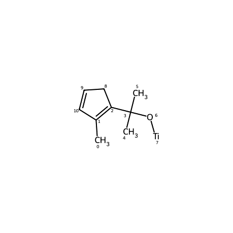 CC1=C(C(C)(C)[O][Ti])CC=C1